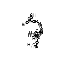 Cc1ncsc1-c1ccc(CNC(=O)[C@@H]2C[C@@H](O)CN2C(=O)C(c2cc(OCCN3CCN(CCOc4ccc(Oc5c(-c6ccc(Br)cc6)sc6cc(O)ccc56)cc4)CC3)no2)C(C)C)cc1